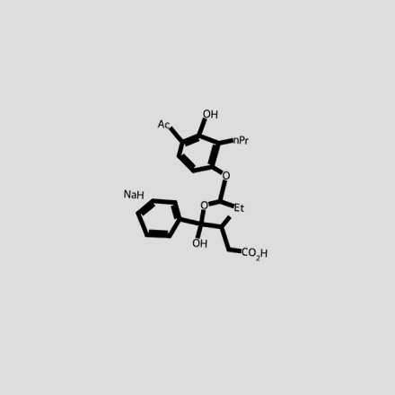 CCCc1c(OC(CC)OC(O)(c2ccccc2)C(C)CC(=O)O)ccc(C(C)=O)c1O.[NaH]